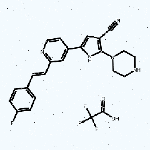 N#Cc1cc(-c2ccnc(C=Cc3ccc(F)cc3)c2)[nH]c1N1CCNCC1.O=C(O)C(F)(F)F